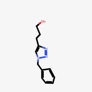 OCCCc1cn(Cc2ccccc2)nn1